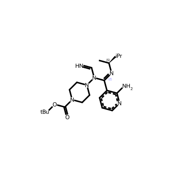 CC(C)[C@H](C)/N=C(/c1cccnc1N)N(C=N)N1CCN(C(=O)OC(C)(C)C)CC1